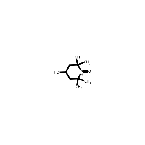 CC1(C)CC(O)CC(C)(C)[PH]1=O